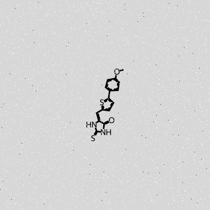 COc1ccc(-c2ccc(/C=C3/NC(=S)NC3=O)s2)cc1